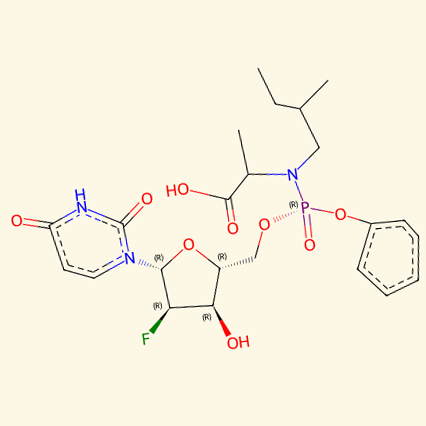 CCC(C)CN(C(C)C(=O)O)[P@@](=O)(OC[C@H]1O[C@@H](n2ccc(=O)[nH]c2=O)[C@H](F)[C@@H]1O)Oc1ccccc1